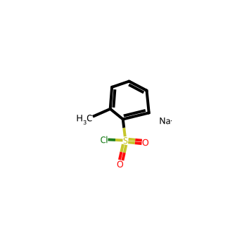 Cc1ccccc1S(=O)(=O)Cl.[Na]